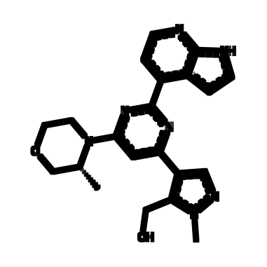 C[C@@H]1COCCN1c1cc(-c2cnn(C)c2CO)nc(-c2ccnc3[nH]ccc23)n1